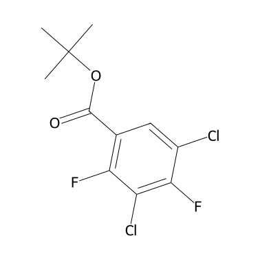 CC(C)(C)OC(=O)c1cc(Cl)c(F)c(Cl)c1F